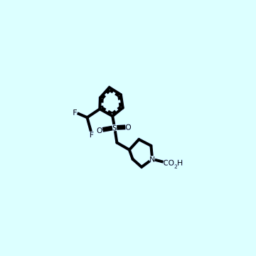 O=C(O)N1CCC(CS(=O)(=O)c2ccccc2C(F)F)CC1